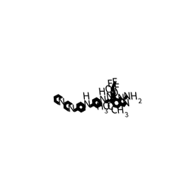 CC1(C)Cc2cnc(N)nc2-c2c1c(C(=O)Nc1ccc(CNc3ccc(CN4CCC(N5CCCCC5)CC4)cc3)cc1)nn2OC(=O)C(F)(F)F